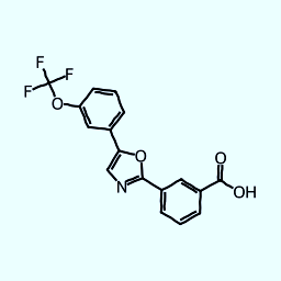 O=C(O)c1cccc(-c2ncc(-c3cccc(OC(F)(F)F)c3)o2)c1